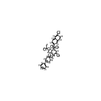 CC(=O)OCC12CN(S(=O)(=O)c3ccc4cc(Cl)ccc4c3)CC(=O)N1CC1(CCN(c3ccncc3)CC1)O2